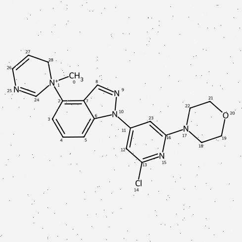 C[N+]1(c2cccc3c2cnn3-c2cc(Cl)nc(N3CCOCC3)c2)C=NC=CC1